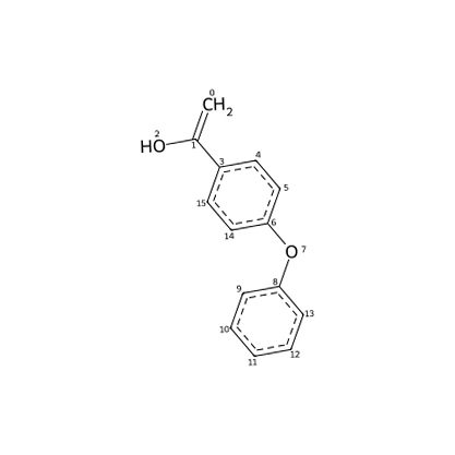 C=C(O)c1ccc(Oc2ccccc2)cc1